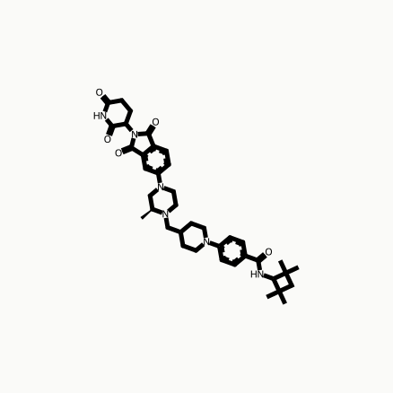 C[C@H]1CN(c2ccc3c(c2)C(=O)N(C2CCC(=O)NC2=O)C3=O)CCN1CC1CCN(c2ccc(C(=O)NC3C(C)(C)CC3(C)C)cc2)CC1